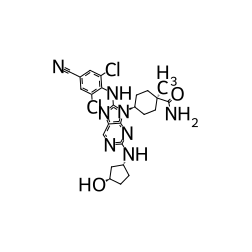 C[C@]1(C(N)=O)CC[C@@H](n2c(Nc3c(Cl)cc(C#N)cc3Cl)nc3cnc(N[C@@H]4CC[C@@H](O)C4)nc32)CC1